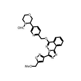 COCc1cc(-c2nnc3c4ccccc4c(OCc4ccc(C5COCCN5C=O)cn4)nn23)no1